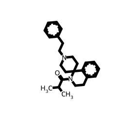 CC(C)C(=O)N1CCc2ccccc2C12CCN(CCc1ccccc1)CC2